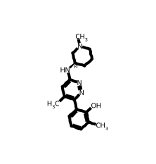 Cc1cc(N[C@@H]2CCCN(C)C2)nnc1-c1cccc(C)c1O